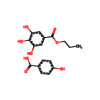 CCCOC(=O)c1cc(O)c(O)c(O)c1.O=C(O)c1ccc(O)cc1